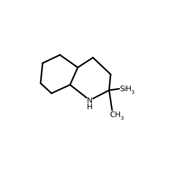 CC1([SiH3])CCC2CCCCC2N1